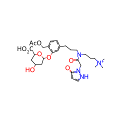 CC(=O)OCc1ccc(CCCN(CCC[N+](C)(C)C)C(=O)Cn2[nH]ccc2=O)cc1OC1CC(O)CC(C(=O)O)O1